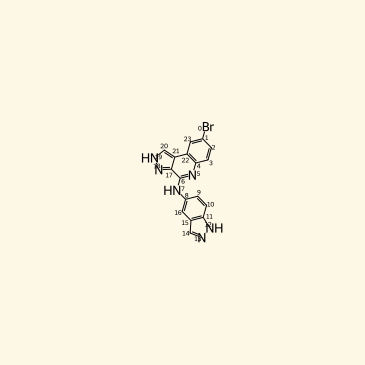 Brc1ccc2nc(Nc3ccc4[nH]ncc4c3)c3n[nH]cc3c2c1